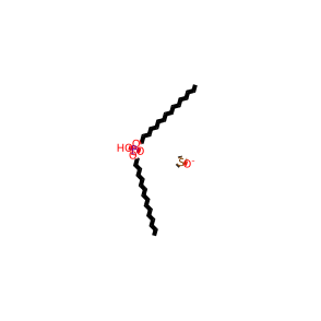 CCCCCCCCCCCCCCCCOP(=O)(O)OCCCCCCCCCCCCCCCC.C[S+](C)[O-]